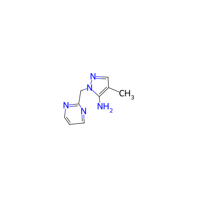 Cc1cnn(Cc2ncccn2)c1N